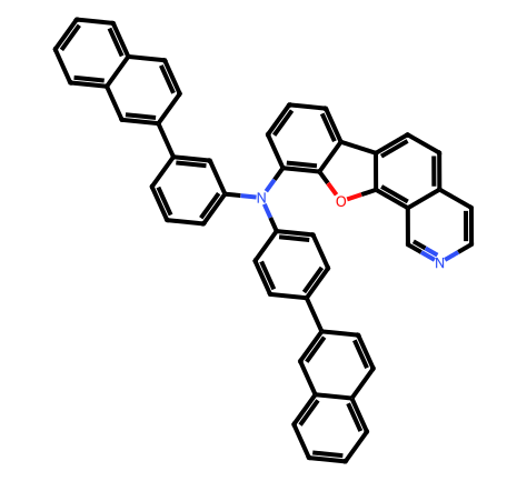 c1cc(-c2ccc3ccccc3c2)cc(N(c2ccc(-c3ccc4ccccc4c3)cc2)c2cccc3c2oc2c4cnccc4ccc32)c1